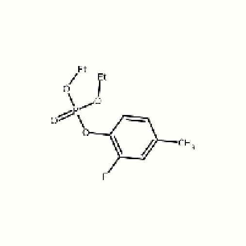 CCOP(=O)(OCC)Oc1ccc(C)cc1F